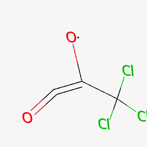 [O]C(=C=O)C(Cl)(Cl)Cl